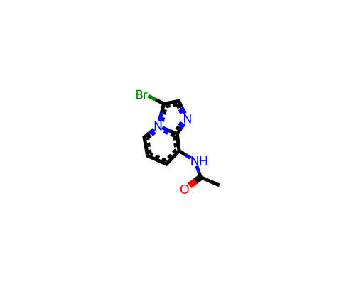 CC(=O)Nc1cccn2c(Br)cnc12